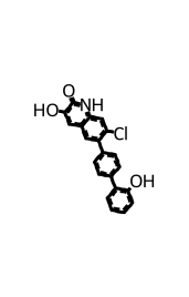 O=c1[nH]c2cc(Cl)c(-c3ccc(-c4ccccc4O)cc3)cc2cc1O